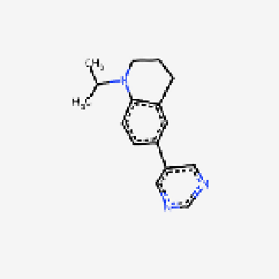 CC(C)N1CCCc2cc(-c3cncnc3)ccc21